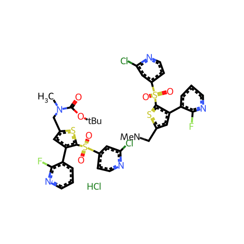 CN(Cc1cc(-c2cccnc2F)c(S(=O)(=O)c2ccnc(Cl)c2)s1)C(=O)OC(C)(C)C.CNCc1cc(-c2cccnc2F)c(S(=O)(=O)c2ccnc(Cl)c2)s1.Cl